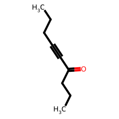 CCCC#CC(=O)CCC